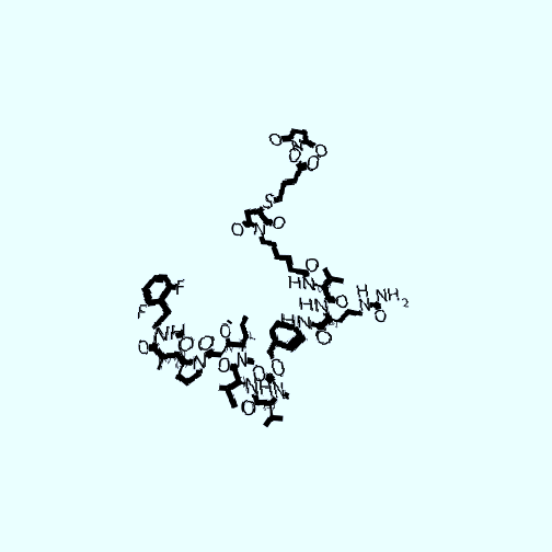 CC[C@H](C)[C@@H]([C@@H](CC(=O)N1CCC[C@H]1[C@H](OC)[C@@H](C)C(=O)NCCc1c(F)cccc1F)OC)N(C)C(=O)[C@@H](NC(=O)[C@H](C(C)C)N(C)C(=O)OCc1ccc(NC(=O)[C@H](CCCNC(N)=O)NC(=O)[C@@H](NC(=O)CCCCCN2C(=O)CC(SCCCC(=O)ON3C(=O)CCC3=O)C2=O)C(C)C)cc1)C(C)C